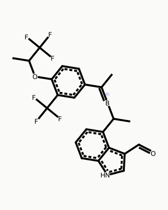 C/C(=B\C(C)c1cccc2[nH]cc(C=O)c12)c1ccc(OC(C)C(F)(F)F)c(C(F)(F)F)c1